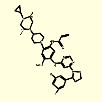 C=CC(=O)Nc1cc(Nc2cc(N3OCCC3c3cc(F)cc(F)c3)ncn2)c(OC)cc1N1CCC(N2C[C@H](C)N(C3CC3)C[C@H]2C)CC1